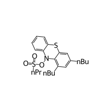 CCCCc1cc(CCCC)c2c(c1)Sc1ccccc1N2OS(=O)(=O)CCC